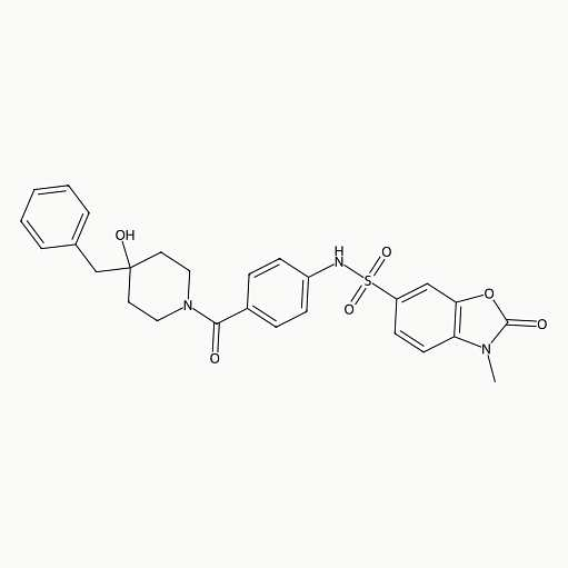 Cn1c(=O)oc2cc(S(=O)(=O)Nc3ccc(C(=O)N4CCC(O)(Cc5ccccc5)CC4)cc3)ccc21